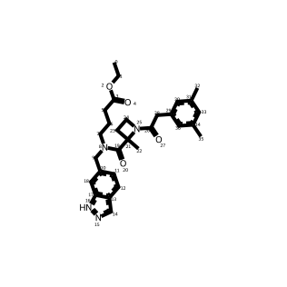 CCOC(=O)CCCN(Cc1ccc2cn[nH]c2c1)C(=O)C1(C)CCN1C(=O)Cc1cc(C)cc(C)c1